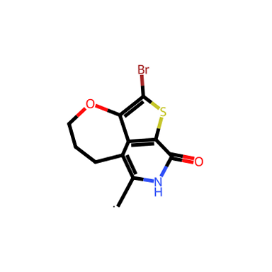 [CH2]c1[nH]c(=O)c2sc(Br)c3c2c1CCCO3